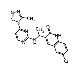 Cc1nnnn1-c1ccnc(NC(C)c2cc3cc(Cl)ccc3[nH]c2=O)n1